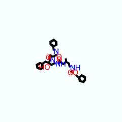 CC(CCNC(=O)OCc1ccccc1)CC(=O)NCCC(O)(Cc1ccccc1)c1nc(C(=O)N(C)Cc2ccccc2)co1